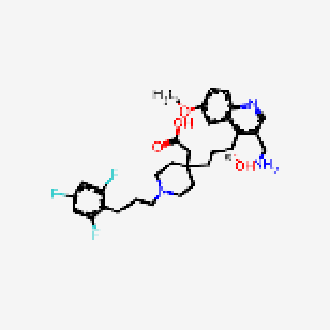 COc1ccc2ncc(CN)c([C@H](O)CCC3(CC(=O)O)CCN(CCCc4c(F)cc(F)cc4F)CC3)c2c1